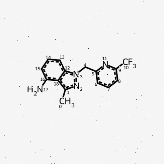 Cc1nn(Cc2cccc(C(F)(F)F)n2)c2cccc(N)c12